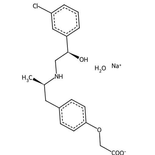 C[C@H](Cc1ccc(OCC(=O)[O-])cc1)NC[C@H](O)c1cccc(Cl)c1.O.[Na+]